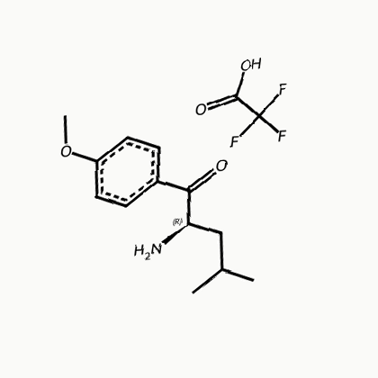 COc1ccc(C(=O)[C@H](N)CC(C)C)cc1.O=C(O)C(F)(F)F